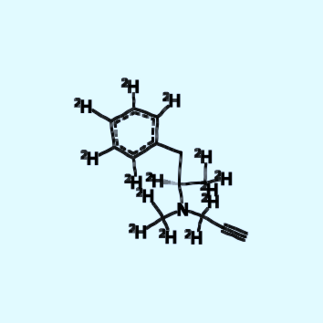 [2H]c1c([2H])c([2H])c(C[C@]([2H])(N(C([2H])([2H])[2H])C([2H])([2H])C#C)C([2H])([2H])[2H])c([2H])c1[2H]